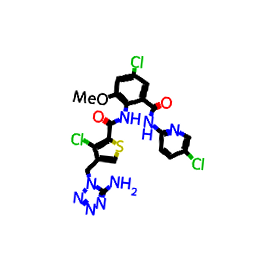 COc1cc(Cl)cc(C(=O)Nc2ccc(Cl)cn2)c1NC(=O)c1scc(Cn2nnnc2N)c1Cl